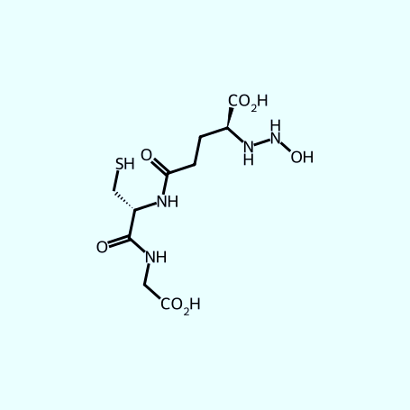 O=C(O)CNC(=O)[C@H](CS)NC(=O)CC[C@H](NNO)C(=O)O